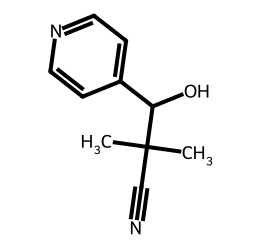 CC(C)(C#N)C(O)c1ccncc1